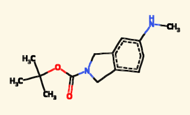 CNc1ccc2c(c1)CN(C(=O)OC(C)(C)C)C2